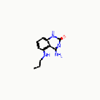 CCCNc1cccc2[nH]c(=O)nc(N)c12